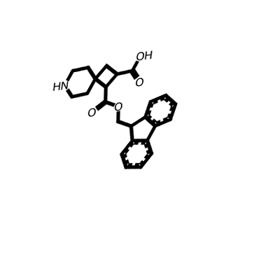 O=C(O)C1CC2(CCNCC2)C1C(=O)OCC1c2ccccc2-c2ccccc21